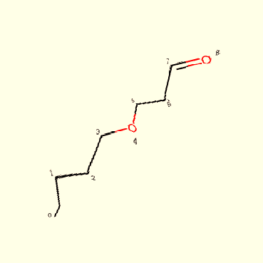 CCCCOC[CH]C=O